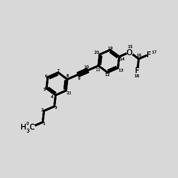 CCCCc1cccc(C#Cc2ccc(OC(F)F)cc2)c1